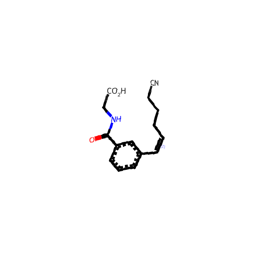 N#CCCC/C=C\c1cccc(C(=O)NCC(=O)O)c1